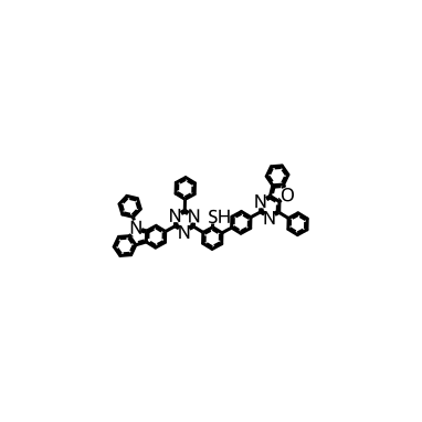 Sc1c(-c2ccc(-c3nc(-c4ccccc4)c4oc5ccccc5c4n3)cc2)cccc1-c1nc(-c2ccccc2)nc(-c2ccc3c4ccccc4n(-c4ccccc4)c3c2)n1